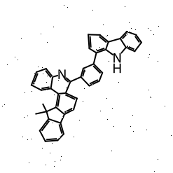 CC1(C)c2ccccc2-c2ccc3c(-c4cccc(-c5cccc6c5[nH]c5ccccc56)c4)nc4ccccc4c3c21